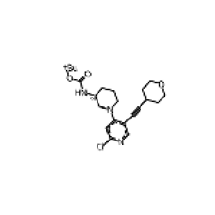 CC(C)(C)OC(=O)N[C@H]1CCCN(c2cc(Cl)ncc2C#CC2CCOCC2)C1